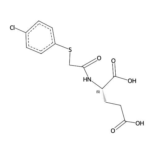 O=C(O)CC[C@H](NC(=O)CSc1ccc(Cl)cc1)C(=O)O